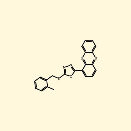 Cc1ccccc1CSc1nnc(-c2cccc3nc4ccccc4nc23)o1